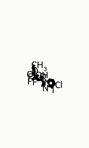 CCOC(=O)C(O)(CC(=O)c1cnc2c(I)c(Cl)ccn12)C(F)(F)F